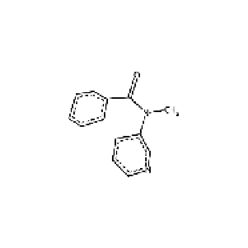 CN(C(=O)c1ccccc1)c1cccnc1